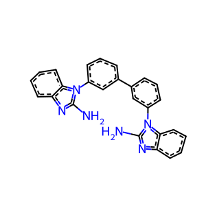 Nc1nc2ccccc2n1-c1cccc(-c2cccc(-n3c(N)nc4ccccc43)c2)c1